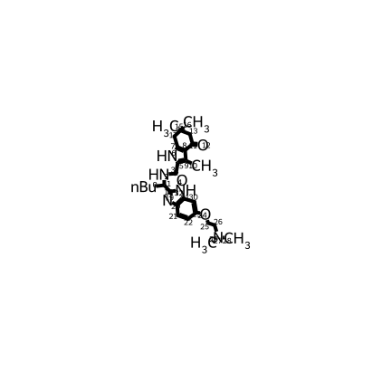 CCCCC(NC(=O)c1[nH]c2c(c1C)C(=O)CC(C)(C)C2)c1nc2ccc(OCCN(C)C)cc2[nH]1